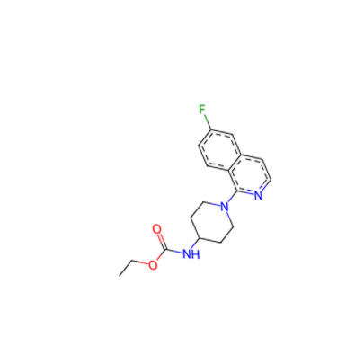 CCOC(=O)NC1CCN(c2nccc3cc(F)ccc23)CC1